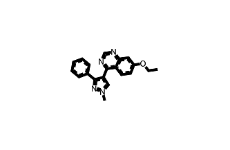 CCOc1ccc2c(-c3cn(C)nc3-c3ccccc3)ncnc2c1